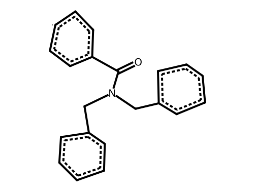 O=C(c1cc[c]cc1)N(Cc1ccccc1)Cc1ccccc1